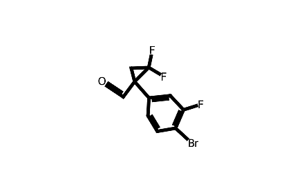 O=CC1(c2ccc(Br)c(F)c2)CC1(F)F